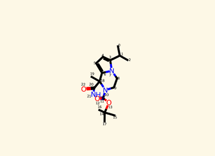 CC(C)c1ccc2n1CCN(C(=O)OC(C)(C)C)C2(C)C(N)=O